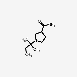 CCC(C)(C)N1CCC(C(N)=O)C1